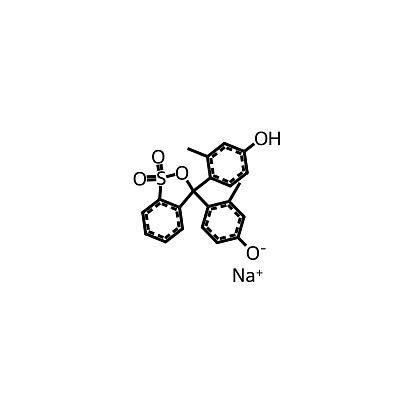 Cc1cc([O-])ccc1C1(c2ccc(O)cc2C)OS(=O)(=O)c2ccccc21.[Na+]